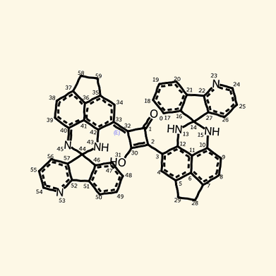 O=C1C(c2cc3c4c(ccc5c4c2NC2(N5)c4ccccc4-c4ncccc42)CC3)=C(O)/C1=c1/cc2c3c(ccc4c3c1NC1(N=4)c3ccccc3-c3ncccc31)CC2